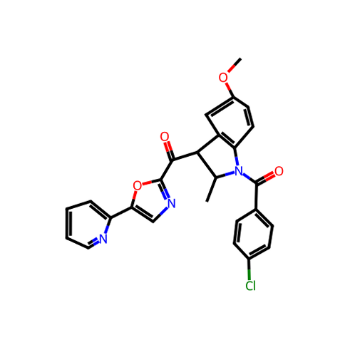 COc1ccc2c(c1)C(C(=O)c1ncc(-c3ccccn3)o1)C(C)N2C(=O)c1ccc(Cl)cc1